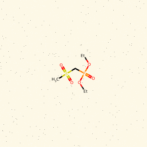 CCOP(=O)(CS(C)(=O)=O)OCC